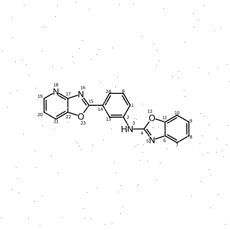 c1cc(Nc2nc3ccccc3o2)cc(-c2nc3ncccc3o2)c1